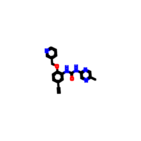 C#Cc1ccc(OCc2cccnc2)c(NC(=O)Nc2cnc(C)cn2)c1